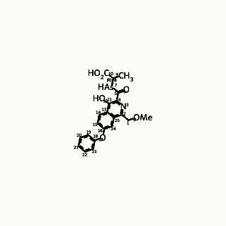 COCc1nc(C(=O)[AsH][C@H](C)C(=O)O)c(O)c2ccc(Oc3ccccc3)cc12